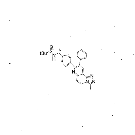 Cc1nnc2c3cc(-c4ccccc4)c(-c4ccc([C@@H](C)N[S@+]([O-])C(C)(C)C)cc4)nc3ccn12